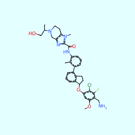 COc1cc(OC2CCc3c(-c4cccc(NC(=O)c5nc6c(n5C)CCN(C(C)CO)C6)c4C)cccc32)c(Cl)c(F)c1CN